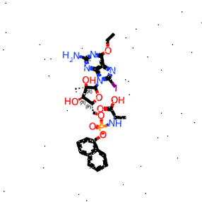 CCOc1nc(N)nc2c1nc(I)n2C1O[C@H](COP(=O)(NC(C)C(=O)O)Oc2cccc3ccccc23)[C@@H](O)[C@@]1(C)O